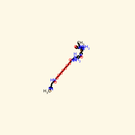 CCCCc1nc2c(N)nc3cc(C4CCN(C(=O)C5CCC(CN/C=C(\N)CNC(=O)CCOCCOCCOCCOCCOCCOCCOCCNC(=O)CCCC#Cc6cnc(SC)nc6)CC5)CC4)sc3c2n1CC1CCOCC1